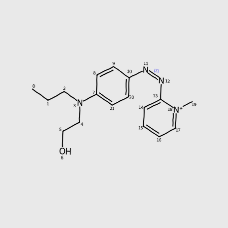 CCCN(CCO)c1ccc(/N=N\c2cccc[n+]2C)cc1